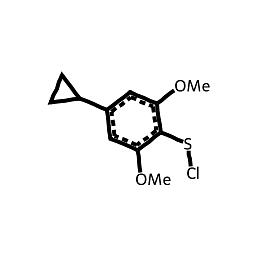 COc1cc(C2CC2)cc(OC)c1SCl